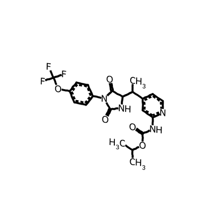 CC(C)OC(=O)Nc1cc(C(C)C2NC(=O)N(c3ccc(OC(F)(F)F)cc3)C2=O)ccn1